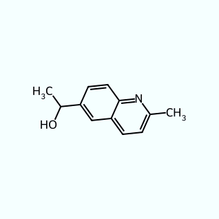 Cc1ccc2cc(C(C)O)ccc2n1